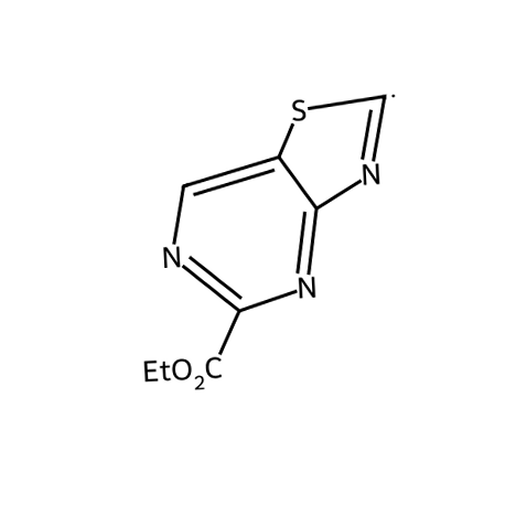 CCOC(=O)c1ncc2s[c]nc2n1